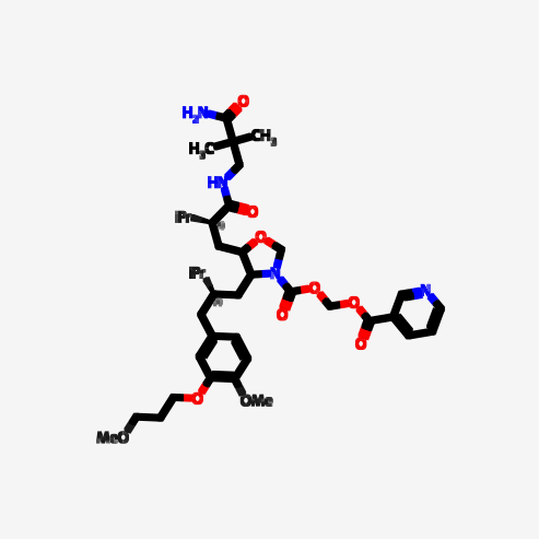 COCCCOc1cc(C[C@H](CC2C(C[C@H](C(=O)NCC(C)(C)C(N)=O)C(C)C)OCN2C(=O)OCOC(=O)c2cccnc2)C(C)C)ccc1OC